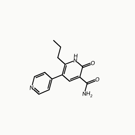 CCCc1[nH]c(=O)c(C(N)=O)cc1-c1ccncc1